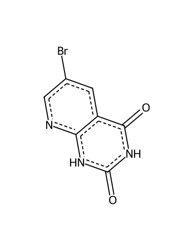 O=c1[nH]c(=O)c2cc(Br)cnc2[nH]1